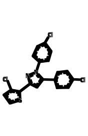 Clc1ccc(-c2cc(-c3sccc3Cl)nn2-c2ccc(Cl)cc2)cc1